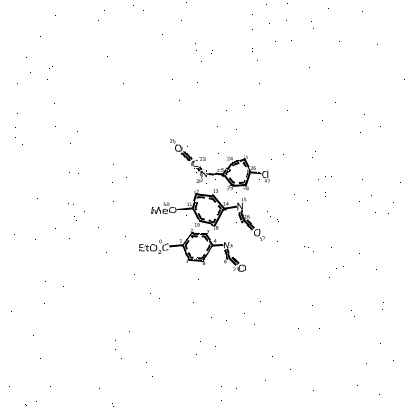 CCOC(=O)c1ccc(N=C=O)cc1.COc1ccc(N=C=O)cc1.O=C=Nc1ccc(Cl)cc1